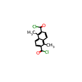 Cc1c(C(=O)Cl)ccc2c(C)c(C(=O)Cl)ccc12